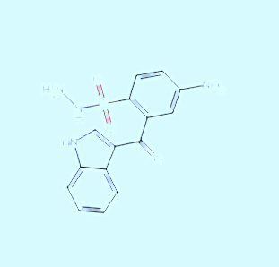 NNS(=O)(=O)c1ccc([N+](=O)[O-])cc1C(=O)c1c[nH]c2ccccc12